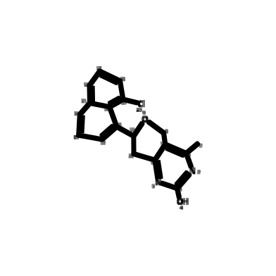 Cc1nc(O)nc2c1COC(c1cccc3cccc(Cl)c13)C2